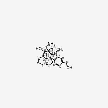 CC[C@]12C=CCN3CC[C@@]4(c5ccc(CO)cc5N(C)[C@H]4C(O)(CN)[C@@H]1O)[C@@H]32